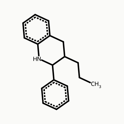 CCCC1Cc2ccccc2NC1c1ccccc1